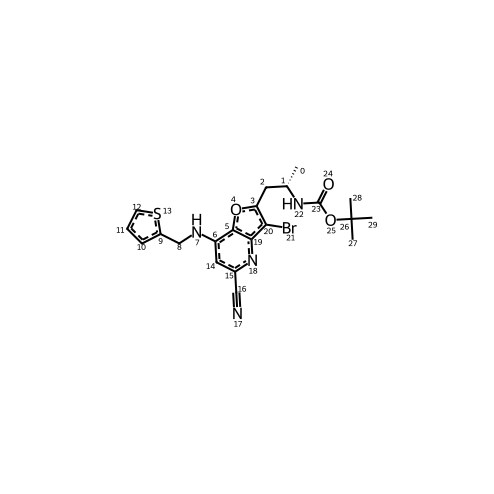 C[C@@H](Cc1oc2c(NCc3cccs3)cc(C#N)nc2c1Br)NC(=O)OC(C)(C)C